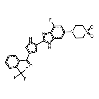 O=C(c1c[nH]c(-c2nc3c(F)cc(N4CCS(=O)(=O)CC4)cc3[nH]2)c1)c1ccccc1C(F)(F)F